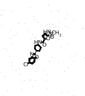 C[S@](=N)(=O)c1ccc(C(=O)N[C@H]2CC[C@H](c3nc4cc(Cl)ccc4o3)CC2)o1